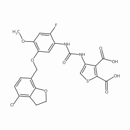 COc1cc(F)c(NC(=O)Nc2csc(C(=O)O)c2C(=O)O)cc1OCc1ccc(Cl)c2c1OCC2